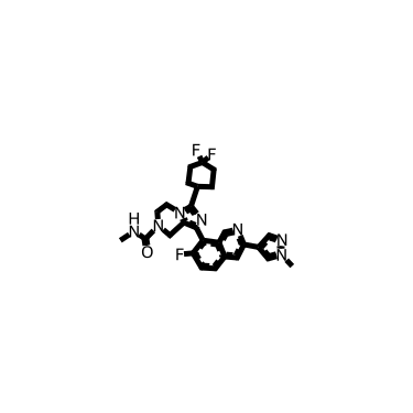 CNC(=O)N1CCn2c(C3CCC(F)(F)CC3)nc(-c3c(F)ccc4cc(-c5cnn(C)c5)ncc34)c2C1